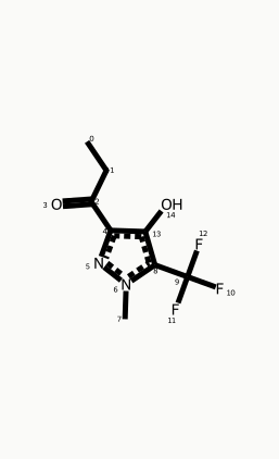 CCC(=O)c1nn(C)c(C(F)(F)F)c1O